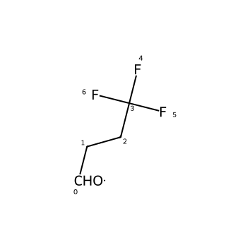 O=[C]CCC(F)(F)F